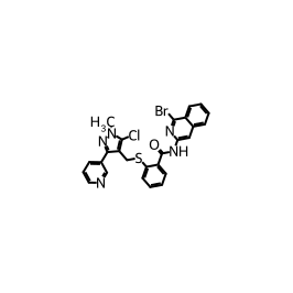 Cn1nc(-c2cccnc2)c(CSc2ccccc2C(=O)Nc2cc3ccccc3c(Br)n2)c1Cl